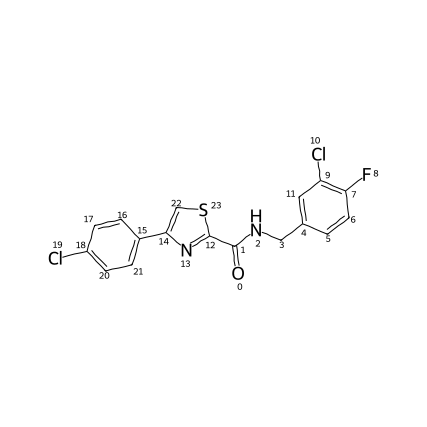 O=C(NCc1ccc(F)c(Cl)c1)c1nc(-c2ccc(Cl)cc2)cs1